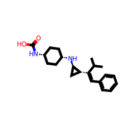 CC(C)/C(=C\c1ccccc1)[C@@H]1C[C@H]1N[C@H]1CC[C@@H](NC(=O)O)CC1